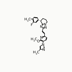 COc1nc(/C=C/c2nc3n(n2)CCC[C@H]3c2ccc(C)c(F)c2)ccc1-n1cnc(C)c1